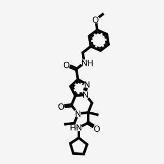 CCN1C(=O)c2cc(C(=O)NCc3cccc(OC)c3)nn2CC1(C)C(=O)NC1CCCC1